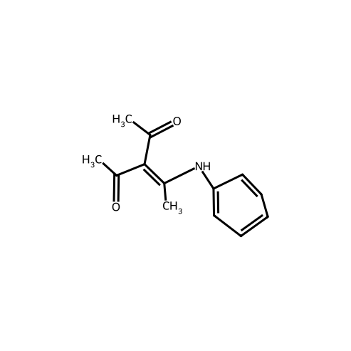 CC(=O)C(C(C)=O)=C(C)Nc1ccccc1